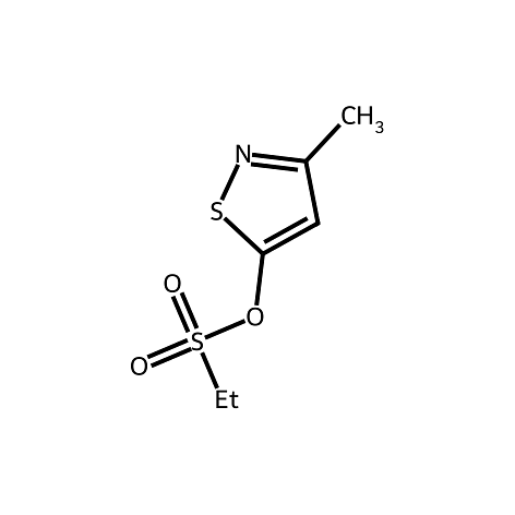 CCS(=O)(=O)Oc1cc(C)ns1